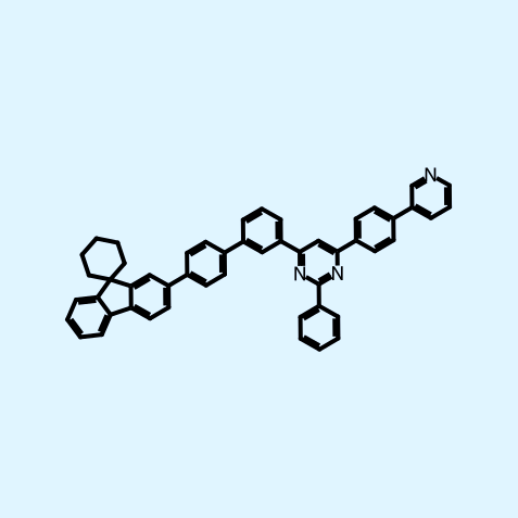 c1ccc(-c2nc(-c3ccc(-c4cccnc4)cc3)cc(-c3cccc(-c4ccc(-c5ccc6c(c5)C5(CCCCC5)c5ccccc5-6)cc4)c3)n2)cc1